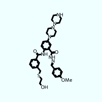 COc1ccc(C=NNC(=O)c2cc(N3CCN(N4CCNCC4)CC3)ccc2NC(=O)c2cccc(CSCCO)c2)cc1